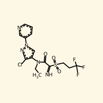 CCN(C(=O)C(=N)S(=O)(=O)CCC(F)(F)F)c1cn(-c2cccnc2)nc1Cl